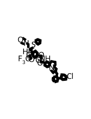 O=C(NS(=O)(=O)c1ccc(N[C@H](CCN2CCOCC2)CSc2ccccc2)c(S(=O)(=O)C(F)(F)F)c1)c1ccc2c(c1)CCCC1CN(Cc3ccccc3-c3ccc(Cl)cc3)CCN21